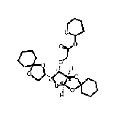 O=C(CO[C@@H]1[C@H]2OC3(CCCCC3)O[C@H]2O[C@@H]1C1COC2(CCCCC2)O1)OC1CCCCO1